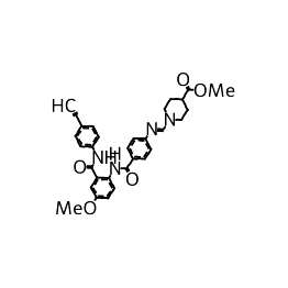 C#Cc1ccc(NC(=O)c2cc(OC)ccc2NC(=O)c2ccc(N=CN3CCC(C(=O)OC)CC3)cc2)cc1